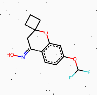 ON=C1CC2(CCC2)Oc2cc(OC(F)F)ccc21